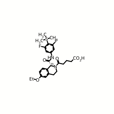 CCOc1ccc2c(c1)CCN(C(=O)CCCC(=O)O)[C@H]2C(=O)Nc1cc(F)c(S(C)(C)C)c(F)c1